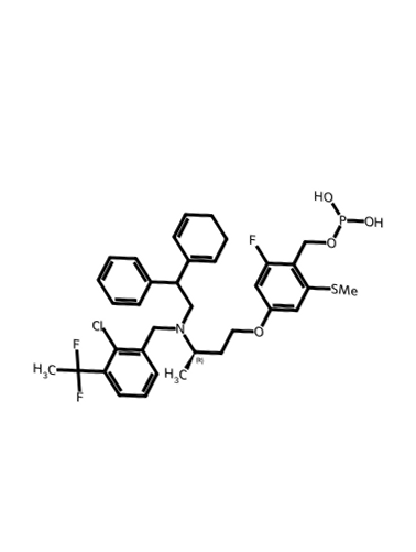 CSc1cc(OCC[C@@H](C)N(Cc2cccc(C(C)(F)F)c2Cl)CC(C2=CCCC=C2)c2ccccc2)cc(F)c1COP(O)O